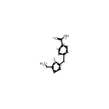 CCc1ccc(Cc2ccc(C(=O)O)cc2)s1